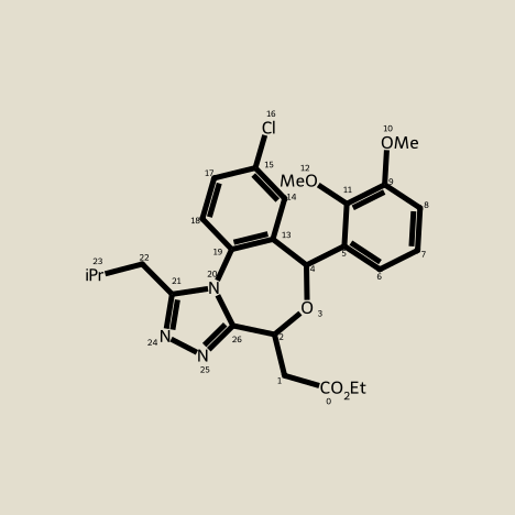 CCOC(=O)CC1OC(c2cccc(OC)c2OC)c2cc(Cl)ccc2-n2c(CC(C)C)nnc21